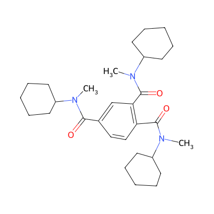 CN(C(=O)c1ccc(C(=O)N(C)C2CCCCC2)c(C(=O)N(C)C2CCCCC2)c1)C1CCCCC1